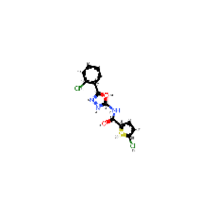 O=C(Nc1nnc(-c2ccccc2Cl)o1)c1ccc(Cl)s1